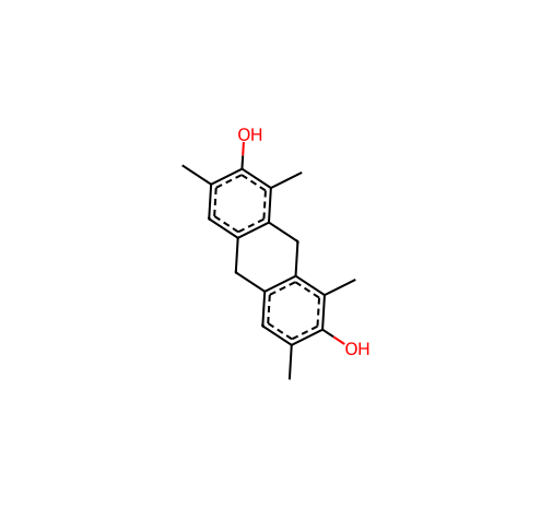 Cc1cc2c(c(C)c1O)Cc1c(cc(C)c(O)c1C)C2